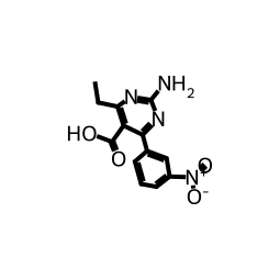 CCc1nc(N)nc(-c2cccc([N+](=O)[O-])c2)c1C(=O)O